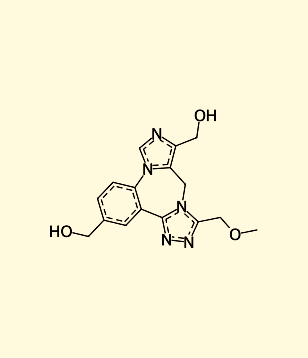 COCc1nnc2n1Cc1c(CO)ncn1-c1ccc(CO)cc1-2